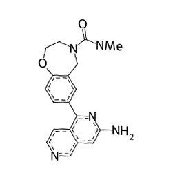 CNC(=O)N1CCOc2ccc(-c3nc(N)cc4cnccc34)cc2C1